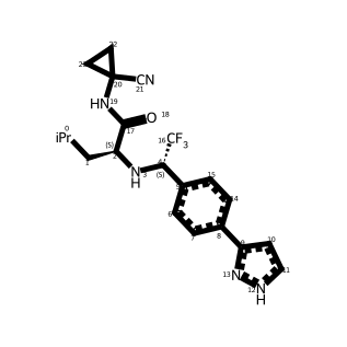 CC(C)C[C@H](N[C@@H](c1ccc(-c2cc[nH]n2)cc1)C(F)(F)F)C(=O)NC1(C#N)CC1